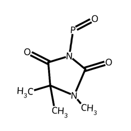 CN1C(=O)N(P=O)C(=O)C1(C)C